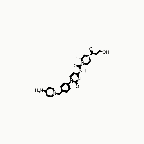 C[C@@H]1CN(C(=O)CCO)CCN1C(=O)Nc1ccn(-c2ccc(CN3CCC(N)CC3)cc2)c(=O)n1